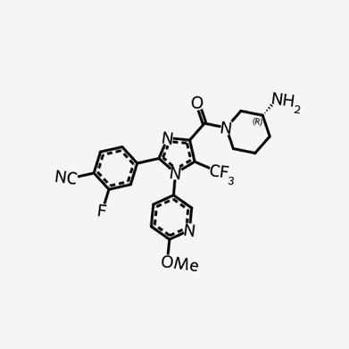 COc1ccc(-n2c(-c3ccc(C#N)c(F)c3)nc(C(=O)N3CCC[C@@H](N)C3)c2C(F)(F)F)cn1